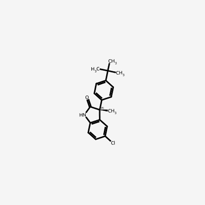 CC(C)(C)c1ccc([C@@]2(C)C(=O)Nc3ccc(Cl)cc32)cc1